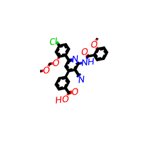 COCOc1cc(Cl)ccc1-c1cc(-c2cccc(C(=O)O)c2)c(C#N)c(NC(=O)c2ccccc2OC)n1